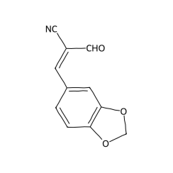 N#CC(C=O)=Cc1ccc2c(c1)OCO2